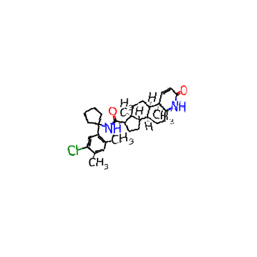 Cc1cc(C)c(C2(NC(=O)C3CC[C@H]4[C@@H]5CCC6NC(=O)C=C[C@]6(C)[C@@H]5CC[C@]34C)CCCC2)cc1Cl